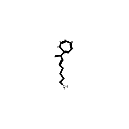 CC(C=CCCCCO)C1=CC=CC=CC1